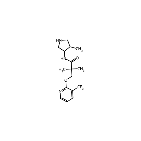 CC1CNCC1NC(=O)C(C)(C)COc1ncccc1C(F)(F)F